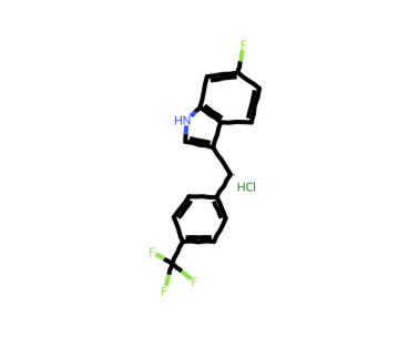 Cl.Fc1ccc2c([CH]c3ccc(C(F)(F)F)cc3)c[nH]c2c1